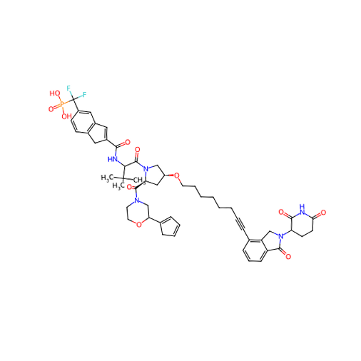 CC(C)(C)C(NC(=O)C1=Cc2cc(C(F)(F)P(=O)(O)O)ccc2C1)C(=O)N1C[C@@H](OCCCCCCC#Cc2cccc3c2CN(C2CCC(=O)NC2=O)C3=O)C[C@H]1C(=O)N1CCOC(C2=CC=CC2)C1